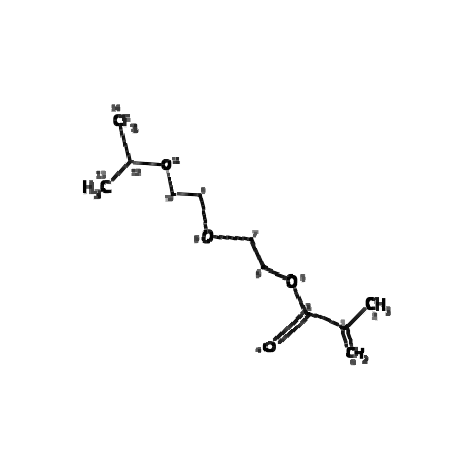 C=C(C)C(=O)OCCOCCOC(C)C(F)(F)F